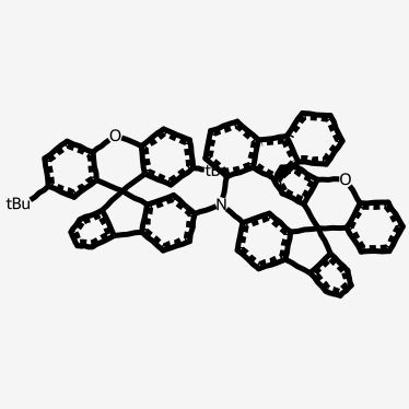 CC(C)(C)c1ccc2c(c1)C1(c3cc(C(C)(C)C)ccc3O2)c2ccccc2-c2ccc(N(c3ccc4c(c3)C3(c5ccccc5Oc5ccccc53)c3ccccc3-4)c3cccc4c3sc3ccccc34)cc21